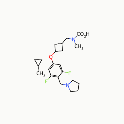 CC1CC1.CN(CC1CC(Oc2cc(F)c(CN3CCCC3)c(F)c2)C1)C(=O)O